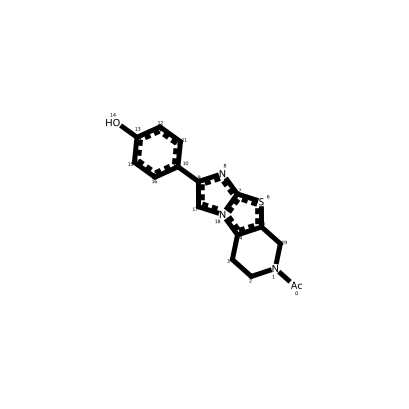 CC(=O)N1CCc2c(sc3nc(-c4ccc(O)cc4)cn23)C1